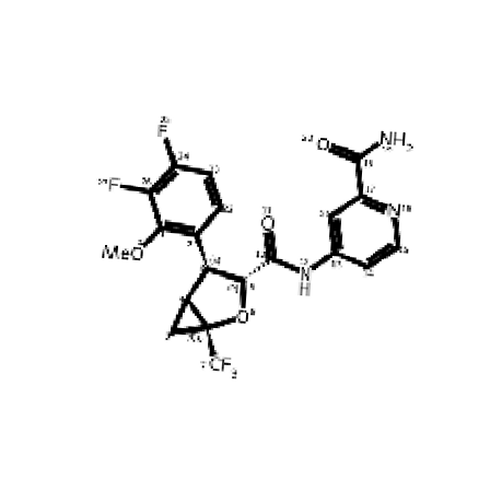 COc1c([C@@H]2C3C[C@@]3(C(F)(F)F)O[C@H]2C(=O)Nc2ccnc(C(N)=O)c2)ccc(F)c1F